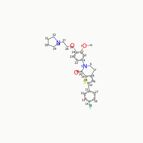 COc1cc(N2CCc3cc(-c4ccc(F)cc4)sc3C2=O)ccc1OCCN1CCCC1